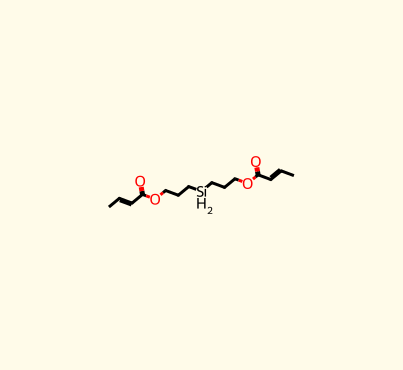 CC=CC(=O)OCCC[SiH2]CCCOC(=O)C=CC